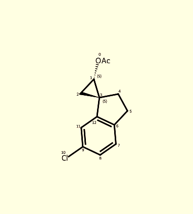 CC(=O)O[C@H]1C[C@]12CCc1ccc(Cl)cc12